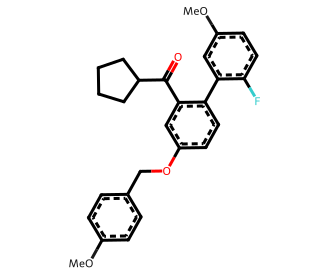 COc1ccc(COc2ccc(-c3cc(OC)ccc3F)c(C(=O)C3CCCC3)c2)cc1